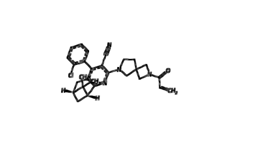 C=CC(=O)N1CC2(CCN(c3nc4c(c(-c5ccccc5Cl)c3C#N)C[C@H]3C[C@@H]4C3(C)C)C2)C1